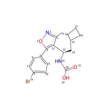 Cc1noc(-c2ccc(Br)cc2)c1[C@@H](CC1CCC1)NC(=O)O